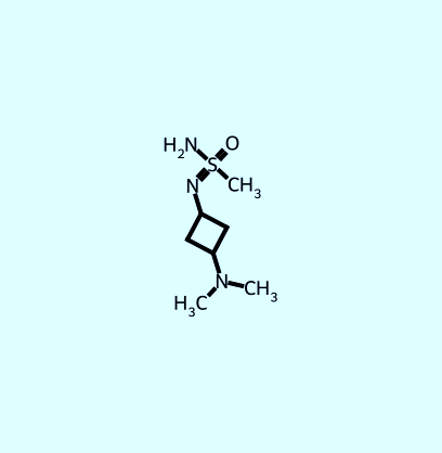 CN(C)C1CC(N=S(C)(N)=O)C1